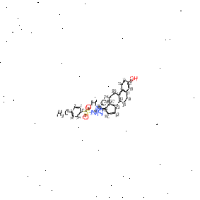 Cc1ccc(S(=O)(=O)NN=C2CCC3C4CCc5cc(O)ccc5C4CC[C@]23C)cc1